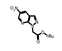 CCCCOC(=O)Cn1ncc2cc([N+](=O)[O-])cnc21